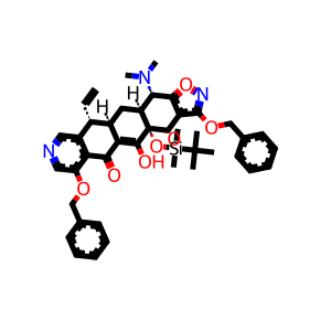 C=C[C@H]1c2cncc(OCc3ccccc3)c2C(=O)C2=C(O)[C@]3(O[Si](C)(C)C(C)(C)C)C(=O)c4c(OCc5ccccc5)noc4[C@@H](N(C)C)[C@@H]3C[C@@H]21